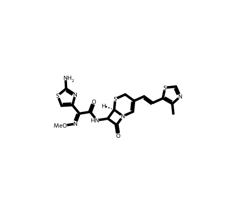 CON=C(C(=O)NC1C(=O)N2C=C(C=Cc3scnc3C)CS[C@H]12)c1csc(N)n1